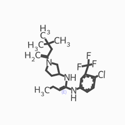 C=C(CC(C)(C)C)N1CCC(N/C(=C\CC)Nc2ccc(Cl)c(C(F)(F)F)c2)C1